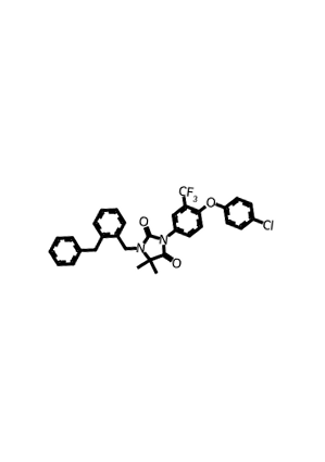 CC1(C)C(=O)N(c2ccc(Oc3ccc(Cl)cc3)c(C(F)(F)F)c2)C(=O)N1Cc1ccccc1Cc1ccccc1